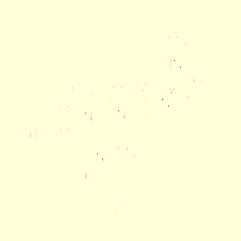 C=CC[C@@](C)(NC(=O)[C@@H]1C[C@@H](Oc2nc3c(c4ccccc24)CCC3)CN1C(=O)[C@@H](NC(=O)OC(C)(C)C)C(C)(C)C)C(=O)NS(=O)(=O)C1CC1